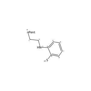 CCCCCCCNc1ccccc1[S]